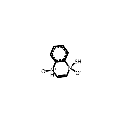 [O-][NH+]1C=C[N+]([O-])(S)c2ccccc21